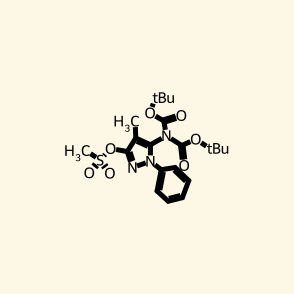 Cc1c(OS(C)(=O)=O)nn(-c2ccccc2)c1N(C(=O)OC(C)(C)C)C(=O)OC(C)(C)C